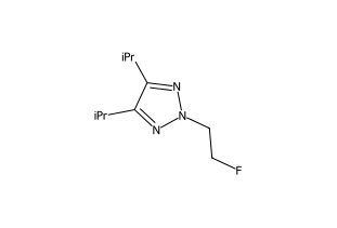 CC(C)c1nn(CCF)nc1C(C)C